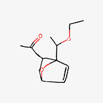 CCOC(C)C12C=CC(CC1C(C)=O)O2